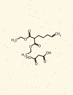 C=CCCCC(C(=O)OCC)C(=O)OCC.O=C(O)CC(=O)O